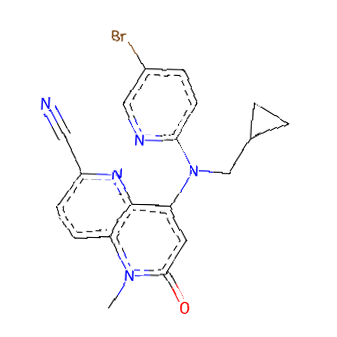 Cn1c(=O)cc(N(CC2CC2)c2ccc(Br)cn2)c2nc(C#N)ccc21